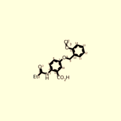 CCC(=O)Nc1ccc(OCc2ccccc2OC(F)(F)F)cc1C(=O)O